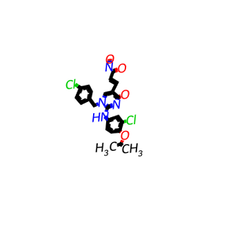 CC(C)Oc1ccc(Nc2nc(=O)c(/C=C/C(=O)N=O)cn2Cc2ccc(Cl)cc2)cc1Cl